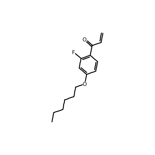 C=CC(=O)c1ccc(OCCCCCC)cc1F